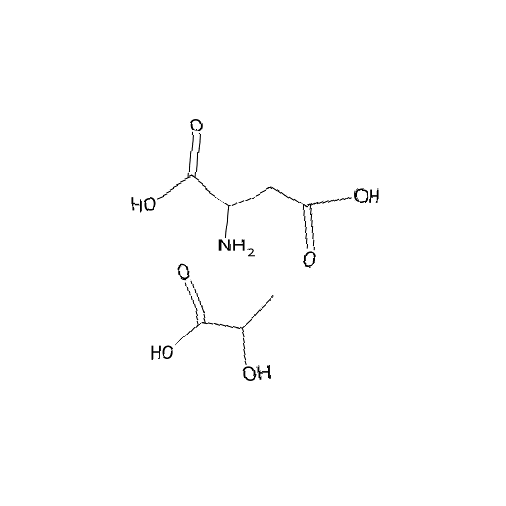 CC(O)C(=O)O.NC(CC(=O)O)C(=O)O